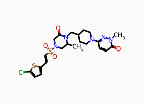 CC1CN(S(=O)(=O)C=Cc2ccc(Cl)s2)CC(=O)N1CC1CCN(c2ccc(=O)n(C)n2)CC1